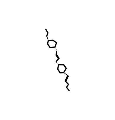 CCCC=C[C@H]1CC[C@H](CC=CC[C@H]2CC[C@H](CCC)CC2)CC1